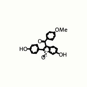 COc1ccc(C(=O)c2c(-c3ccc(O)cc3)[s+]([O-])c3cc(O)ccc23)cc1